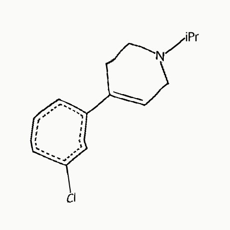 CC(C)N1CC=C(c2cccc(Cl)c2)CC1